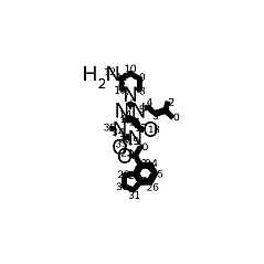 CC(C)=CCn1c(N2CCCC(N)C2)nc2c1c(=O)n(CC(=O)c1cccc3c1CCC3)c(=O)n2C